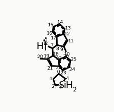 C1CC[SiH2]C1.[CH3][Hf][CH](C1C(C)=Cc2ccccc21)C1C(C)=Cc2ccccc21